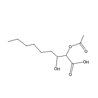 CCCCCCC(O)C(OC(C)=O)C(=O)O